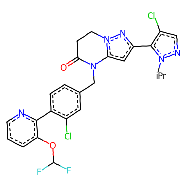 CC(C)n1ncc(Cl)c1-c1cc2n(n1)CCC(=O)N2Cc1ccc(-c2ncccc2OC(F)F)c(Cl)c1